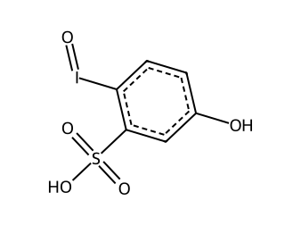 O=Ic1ccc(O)cc1S(=O)(=O)O